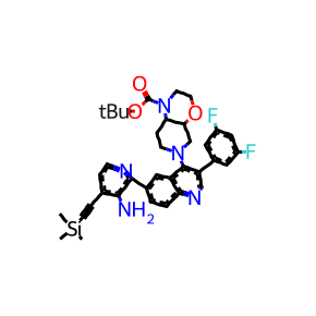 CC(C)(C)OC(=O)N1CCOC2CN(c3c(-c4cc(F)cc(F)c4)cnc4ccc(-c5nccc(C#C[Si](C)(C)C)c5N)cc34)CCC21